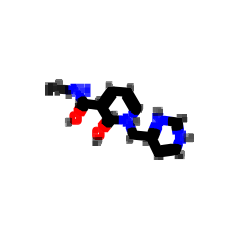 CC(C)NC(=O)c1cccn(Cc2ccncn2)c1=O